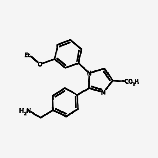 CCOc1cccc(-n2cc(C(=O)O)nc2-c2ccc(CN)cc2)c1